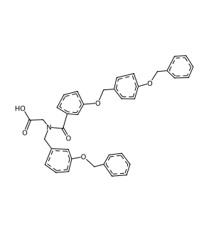 O=C(O)CN(Cc1cccc(OCc2ccccc2)c1)C(=O)c1cccc(OCc2ccc(OCc3ccccc3)cc2)c1